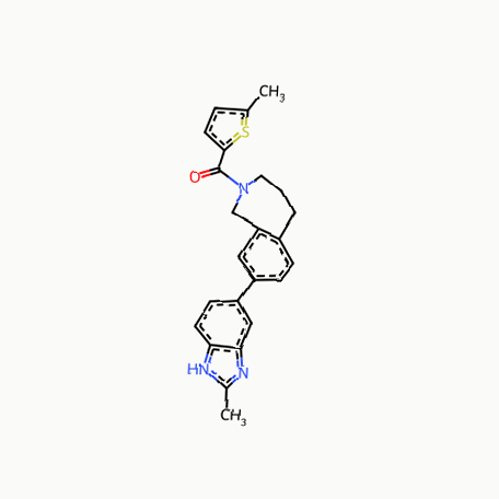 Cc1nc2cc(-c3ccc4c(c3)CN(C(=O)c3ccc(C)s3)CCC4)ccc2[nH]1